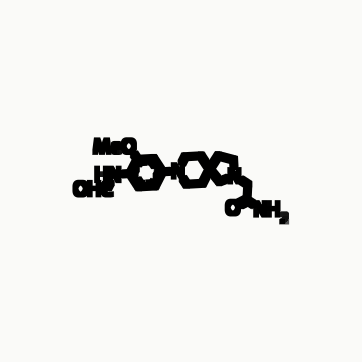 COc1cc(N2CCC3(CCN(CC(N)=O)C3)CC2)ccc1NC=O